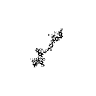 Cc1ncsc1-c1ccc(CNC(=O)[C@@H]2C[C@@H](O)CN2C(=O)[C@@H](NC(=O)C2(F)CC2)C(C)(C)C)c(OCCOCCC(=O)N2CCN(c3nnc(-c4cnc(-c5ccc6cc(C#N)cnn56)cc4NC(C)C)s3)CC2)c1